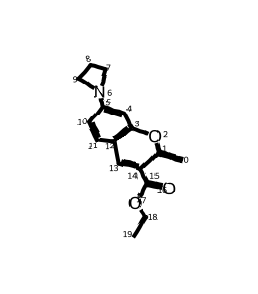 C=C1Oc2cc(N3CCC3)ccc2C=C1C(=O)OCC